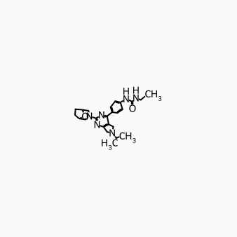 CCNC(=O)Nc1ccc(-c2nc(N3CC4CCC(C3)O4)nc3c2CN(C(C)C)C3)cc1